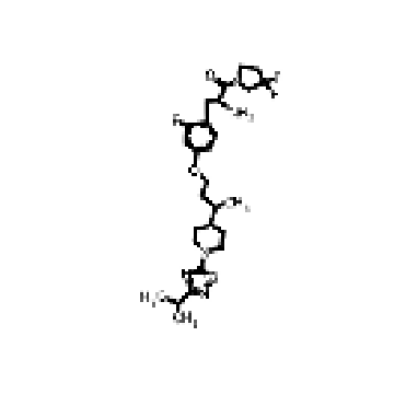 CC(C)c1noc(N2CCC(C(C)CCOc3ccc(CC(N)C(=O)N4CCC(F)(F)C4)c(F)c3)CC2)n1